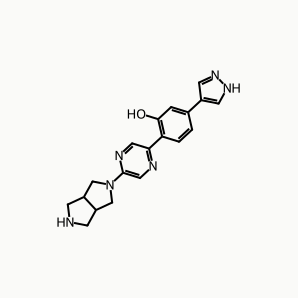 Oc1cc(-c2cn[nH]c2)ccc1-c1cnc(N2CC3CNCC3C2)cn1